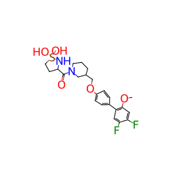 COc1cc(F)c(F)cc1-c1ccc(OCC2CCCN(C(=O)C3CCS(O)(O)N3)C2)cc1